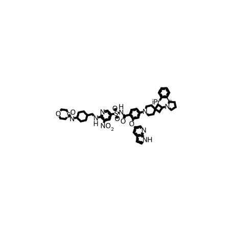 CC(C)c1ccccc1[C@H]1CCCN1C1CC2(CCN(c3ccc(C(=O)NS(=O)(=O)c4cnc(NCC5CCC(N=S6(=O)CCOCC6)CC5)c([N+](=O)[O-])c4)c(Oc4cnc5[nH]ccc5c4)c3)CC2)C1